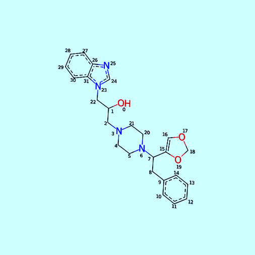 OC(CN1CCN(C(Cc2ccccc2)C2=COCO2)CC1)Cn1cnc2ccccc21